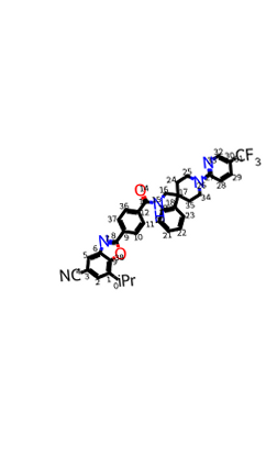 CC(C)c1cc(C#N)cc2nc(-c3ccc(C(=O)NCC4(c5ccccc5)CCN(c5ccc(C(F)(F)F)cn5)CC4)cc3)oc12